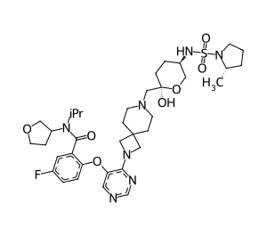 CC(C)N(C(=O)c1cc(F)ccc1Oc1cncnc1N1CC2(CCN(C[C@@]3(O)CC[C@@H](NS(=O)(=O)N4CCC[C@@H]4C)CO3)CC2)C1)C1CCOC1